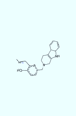 C/N=C/c1nc(CN2CCC3=C(C2)NC2C=CC=CC32)ccc1O